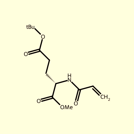 C=CC(=O)N[C@@H](CCC(=O)OC(C)(C)C)C(=O)OC